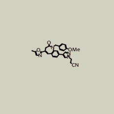 COc1ccc(CN2C(=O)CC(c3ncc(C)o3)=Cc3ccc(-c4cnn(CCC#N)c4)cc32)cc1